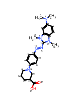 CN(C)c1ccc2c(c1)N(C)C(N=Nc1ccc(N3CCCC(C(=O)O)C3)cc1)N2C